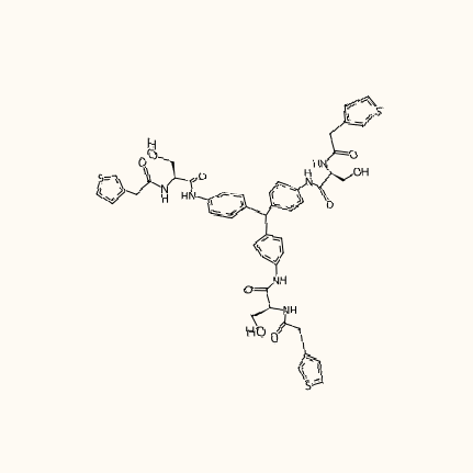 O=C(Cc1ccsc1)N[C@@H](CO)C(=O)Nc1ccc(C(c2ccc(NC(=O)[C@H](CO)NC(=O)Cc3ccsc3)cc2)c2ccc(NC(=O)[C@H](CO)NC(=O)Cc3ccsc3)cc2)cc1